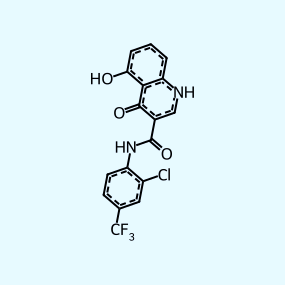 O=C(Nc1ccc(C(F)(F)F)cc1Cl)c1c[nH]c2cccc(O)c2c1=O